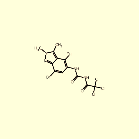 [2H]c1c(NC(=O)NC(=O)C(Cl)(Cl)Cl)cc(Br)c2nn(C)c(C)c12